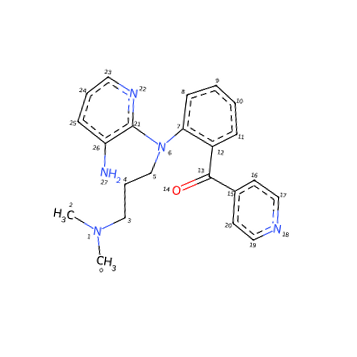 CN(C)CCCN(c1ccccc1C(=O)c1ccncc1)c1ncccc1N